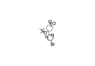 C[Si](C)(C)OC1(c2ncc(Br)cn2)CCS(=O)(=O)CC1